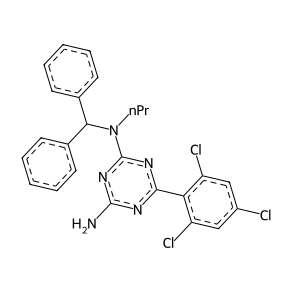 CCCN(c1nc(N)nc(-c2c(Cl)cc(Cl)cc2Cl)n1)C(c1ccccc1)c1ccccc1